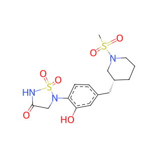 CS(=O)(=O)N1CCC[C@H](Cc2ccc(N3CC(=O)NS3(=O)=O)c(O)c2)C1